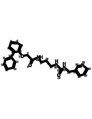 O=C(COc1ccccc1-c1ccccc1)NCCCNC(=O)NCc1cccnc1